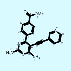 COC(=O)c1ccc(-c2nc(N)nc(N)c2C#Cc2cccnc2)cc1